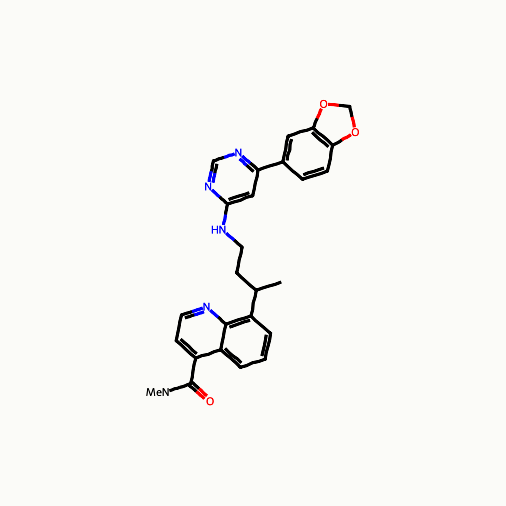 CNC(=O)c1ccnc2c(C(C)CCNc3cc(-c4ccc5c(c4)OCO5)ncn3)cccc12